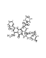 C=Nc1cc(-c2ccccc2C)ccc1C(=O)N(CC(Cc1cc(F)cc(F)c1)NC=O)c1ccc(S(=O)(=O)N2CCOCC2)cc1